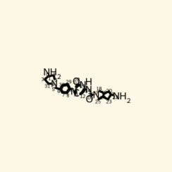 NC1CCN(Cc2ccc(-n3ccc(NC(=O)N4CC5CC(N)CC5C4)nc3=O)cc2)CC1